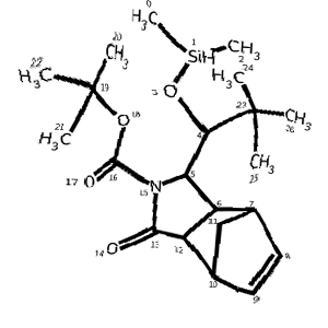 C[SiH](C)OC(C1C2C3C=CC(C3)C2C(=O)N1C(=O)OC(C)(C)C)C(C)(C)C